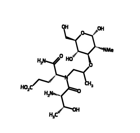 CN[C@@H]1[C@@H](OC(C)CN(C(=O)[C@@H](N)[C@@H](C)O)[C@H](CCC(=O)O)C(N)=O)[C@H](O)[C@@H](CO)O[C@@H]1O